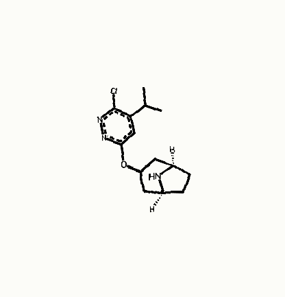 CC(C)c1cc(OC2C[C@H]3CC[C@@H](C2)N3)nnc1Cl